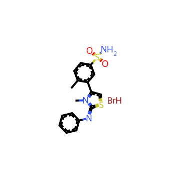 Br.Cc1ccc(S(N)(=O)=O)cc1-c1csc(=Nc2ccccc2)n1C